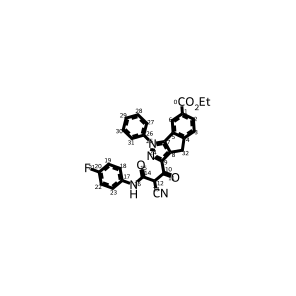 CCOC(=O)c1ccc2c(c1)-c1c(c(C(=O)C(C#N)C(=O)Nc3ccc(F)cc3)nn1-c1ccccc1)C2